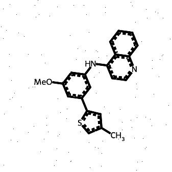 COc1cc(Nc2ccnc3ccccc23)cc(-c2cc(C)cs2)c1